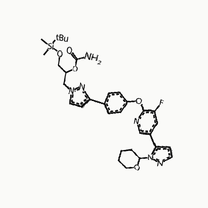 CC(C)(C)[Si](C)(C)OCC(Cn1ccc(-c2ccc(Oc3ncc(-c4ccnn4C4CCCCO4)cc3F)cc2)n1)OC(N)=O